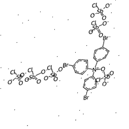 [O]=[Sb]([O-])([Cl])[O][N+](c1ccc(Br)cc1)(c1ccc(Br)cc1)c1ccc(Br)cc1.[O]=[Sb]([O-])([O-])[Cl].[O]=[Sb]([O-])([O-])[Cl].[O]=[Sb]([O-])([O-])[Cl].[O]=[Sb]([O-])([O-])[Cl].[O]=[Sb]([O-])([O-])[Cl]